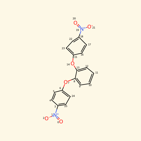 O=[N+]([O-])c1ccc(Oc2ccccc2Oc2ccc([N+](=O)[O-])cc2)cc1